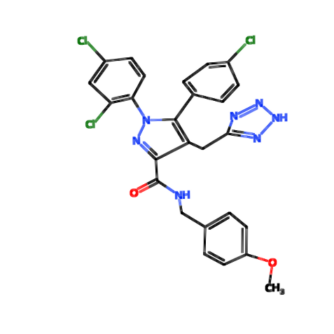 COc1ccc(CNC(=O)c2nn(-c3ccc(Cl)cc3Cl)c(-c3ccc(Cl)cc3)c2Cc2nn[nH]n2)cc1